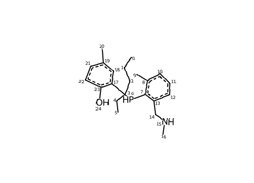 CCCC(CC)(Pc1c(C)cccc1CNC)c1cc(C)ccc1O